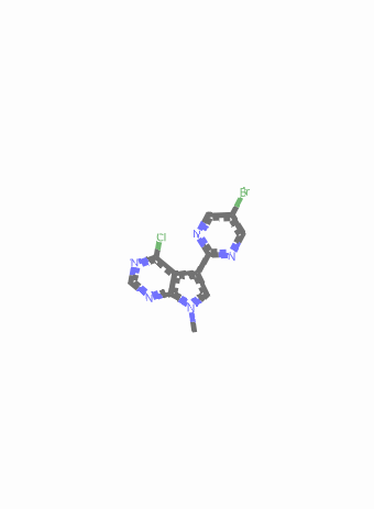 Cn1cc(-c2ncc(Br)cn2)c2c(Cl)ncnc21